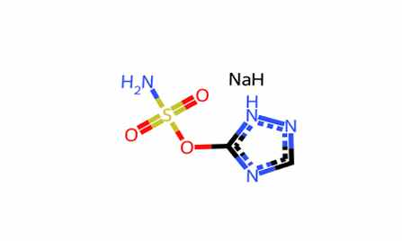 NS(=O)(=O)Oc1ncn[nH]1.[NaH]